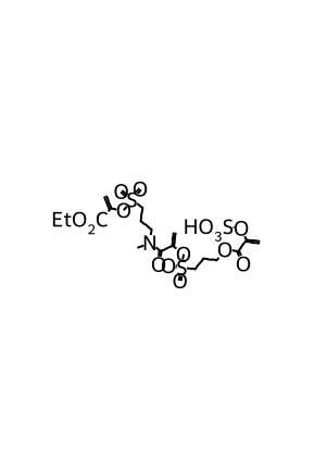 C=C(OS(=O)(=O)O)C(=O)OCCCS(=O)(=O)OC(=C)C(=O)N(C)CCCS(=O)(=O)OC(=C)C(=O)OCC